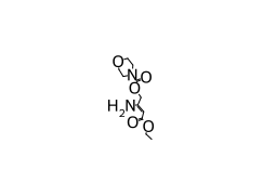 CCOC(=O)C=C(N)COC(=O)N1CCOCC1